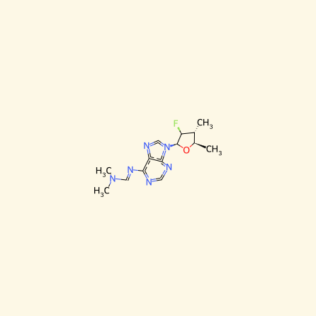 C[C@H]1[C@H](F)[C@H](n2cnc3c(/N=C/N(C)C)ncnc32)O[C@@H]1C